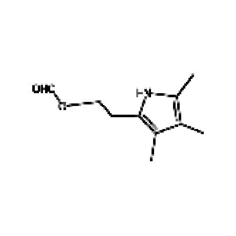 Cc1[nH]c(CCOC=O)c(C)c1C